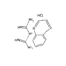 Cl.N=C(N)NC(=N)N.c1ccc2ncccc2c1